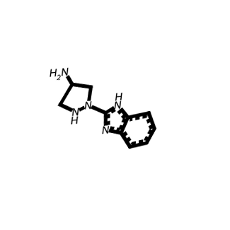 NC1CNN(c2nc3ccccc3[nH]2)C1